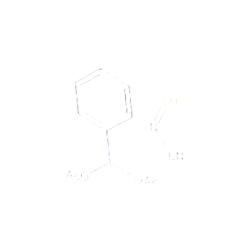 CC(=O)OI(OC(C)=O)c1ccccc1.N#CN=[SH2]